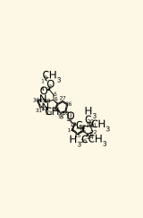 CCOC(=O)C[C@@H](c1ccc(OCc2ccc3c(c2)C(C)(C)CC3(C)C)cc1)c1nccn1C